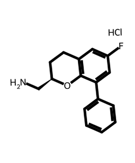 Cl.NC[C@H]1CCc2cc(F)cc(-c3ccccc3)c2O1